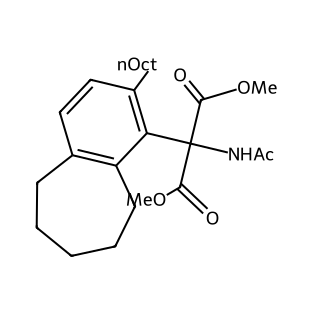 CCCCCCCCc1ccc2c(c1C(NC(C)=O)(C(=O)OC)C(=O)OC)CCCCC2